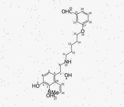 CNc1c(O)ccc([C@@H](O)CNCCCCCOc2cccc(C=O)c2)c1/C=C\C=O